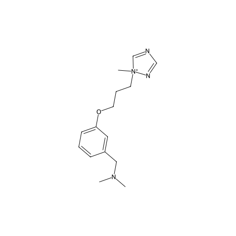 CN(C)Cc1cccc(OCCC[N+]2(C)C=NC=N2)c1